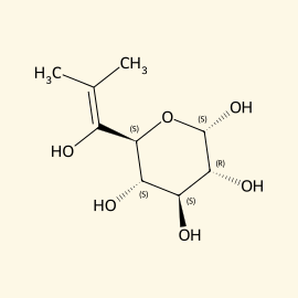 CC(C)=C(O)[C@H]1O[C@H](O)[C@H](O)[C@@H](O)[C@@H]1O